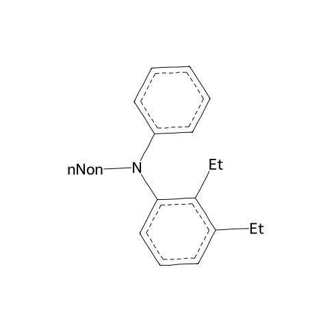 CCCCCCCCCN(c1ccccc1)c1cccc(CC)c1CC